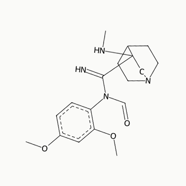 CNC1(C(=N)N(C=O)c2ccc(OC)cc2OC)CN2CCC1CC2